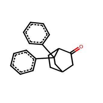 O=C1CC2CCC1C(c1ccccc1)(c1ccccc1)C2